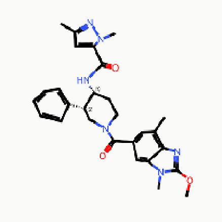 COc1nc2c(C)cc(C(=O)N3CC[C@@H](NC(=O)c4cc(C)nn4C)[C@@H](c4ccccc4)C3)cc2n1C